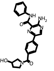 Nc1ncc(-c2ccc(C(=O)N3CCC(O)C3)cc2)nc1C(=O)Nc1ccccc1